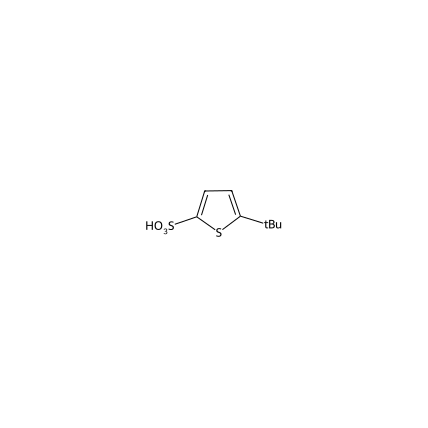 CC(C)(C)c1ccc(S(=O)(=O)O)s1